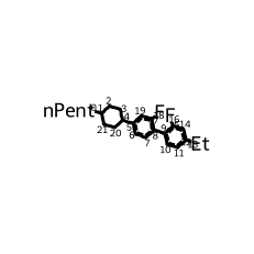 CCCCCC1CCC(c2ccc(-c3ccc(CC)cc3F)c(F)c2)CC1